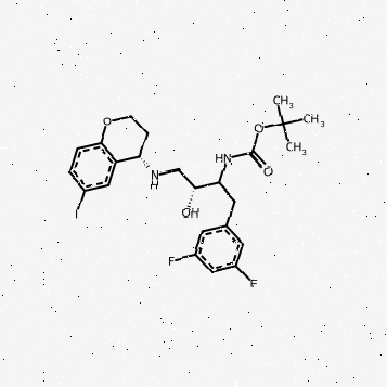 CC(C)(C)OC(=O)NC(Cc1cc(F)cc(F)c1)[C@H](O)CN[C@H]1CCOc2ccc(I)cc21